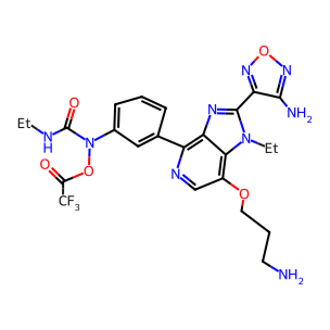 CCNC(=O)N(OC(=O)C(F)(F)F)c1cccc(-c2ncc(OCCCN)c3c2nc(-c2nonc2N)n3CC)c1